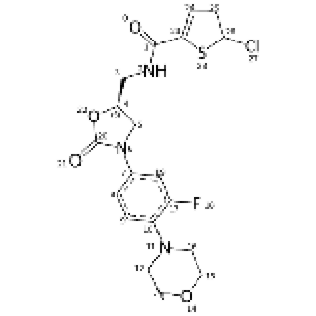 O=C(NC[C@H]1CN(c2ccc(N3CCOCC3)c(F)c2)C(=O)O1)C1=CCC(Cl)S1